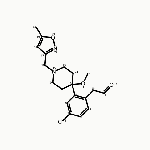 COC1(c2cc(Cl)ccc2CC=O)CCN(Cc2cc(C)on2)CC1